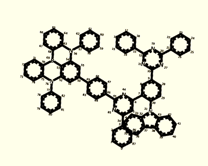 c1ccc(-c2cc(-c3cc(-c4nc(-c5ccccc5)nc(-c5ccccc5)n4)ccc3-n3c4ccccc4c4ccccc43)nc(-c3ccc(-c4cc5c6c(c4)N(c4ccccc4)c4ccccc4B6c4ccccc4N5c4ccccc4)cc3)n2)cc1